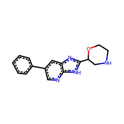 c1ccc(-c2cnc3[nH]c(C4CNCCO4)nc3c2)cc1